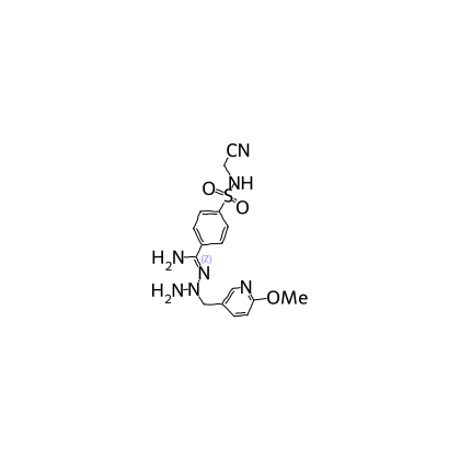 COc1ccc(CN(N)/N=C(\N)c2ccc(S(=O)(=O)NCC#N)cc2)cn1